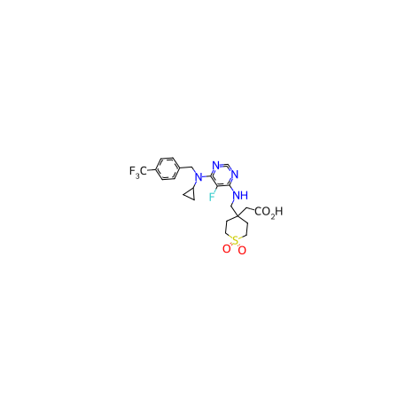 O=C(O)CC1(CNc2ncnc(N(Cc3ccc(C(F)(F)F)cc3)C3CC3)c2F)CCS(=O)(=O)CC1